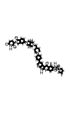 O=C1CC[C@@H](N2Cc3cc(N4C[C@H]5CN(CC6CCN(c7ccc(-c8cnc9[nH]cc(C(=O)c%10c(F)ccc(NS(=O)(=O)N%11CC[C@@H](F)C%11)c%10F)c9c8)cc7)CC6)C[C@H]5C4)ccc3C2=O)C(=O)N1